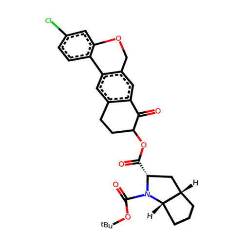 CC(C)(C)OC(=O)N1[C@H](C(=O)OC2CCc3cc4c(cc3C2=O)COc2cc(Cl)ccc2-4)C[C@@H]2CCC[C@@H]21